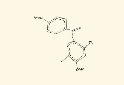 COc1ccc(C(=O)c2cc(C)c(OC)cc2Cl)cc1